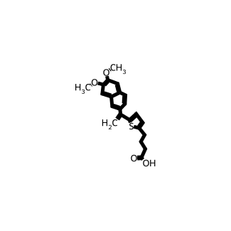 C=C(c1ccc2cc(OC)c(OC)cc2c1)c1ccc(CCCC(=O)O)s1